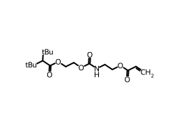 C=CC(=O)OCCNC(=O)OCCOC(=O)C(C(C)(C)C)C(C)(C)C